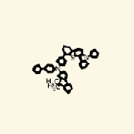 CC1(C)c2ccccc2-c2ccc(N(c3ccc(C4=CCCc5c4sc4c5ccc5c4c4ccccc4n5-c4ccccc4)cc3)c3ccc(-c4ccccc4)cc3)cc21